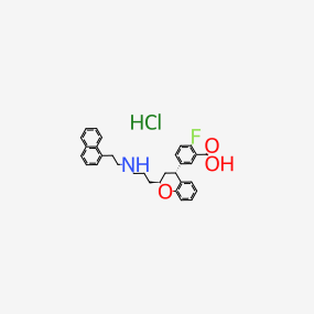 Cl.O=C(O)c1cc([C@H]2C[C@H](CCCNCCc3cccc4ccccc34)Oc3ccccc32)ccc1F